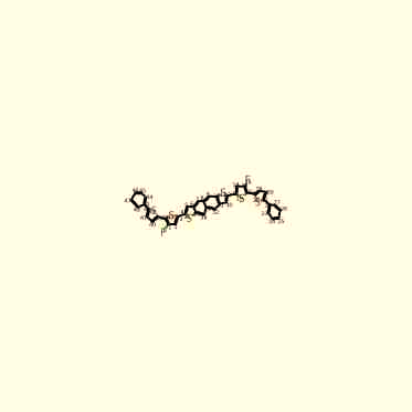 Fc1cc(-c2cc3cc4cc5sc(-c6cc(F)c(-c7ccc(-c8ccccc8)s7)s6)cc5cc4cc3s2)sc1-c1ccc(-c2ccccc2)s1